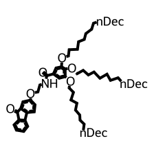 CCCCCCCCCCCCCCCCCCOc1cc(C(=O)NCCOc2ccc3c(c2)C(=O)c2ccccc2-3)cc(OCCCCCCCCCCCCCCCCCC)c1OCCCCCCCCCCCCCCCCCC